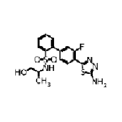 CC(CO)NS(=O)(=O)c1ccccc1-c1ccc(-c2nnc(N)s2)c(F)c1